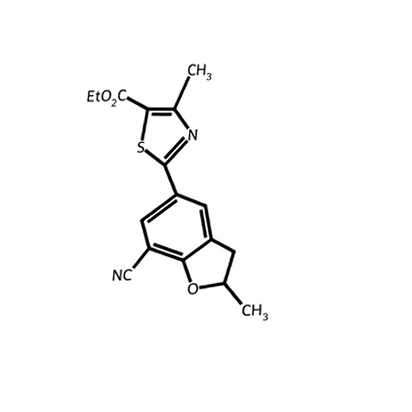 CCOC(=O)c1sc(-c2cc(C#N)c3c(c2)CC(C)O3)nc1C